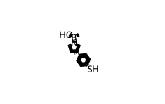 CB(O)N1CC[C@@H](c2ccc(S)cc2)C1